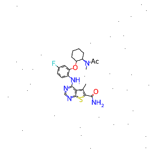 CC(=O)N(C)[C@@H]1CCCCC1Oc1cc(F)ccc1Nc1ncnc2sc(C(N)=O)c(C)c12